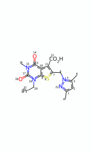 Cc1cc(C)n(Cc2sc3c(c2C(=O)O)c(=O)n(C)c(=O)n3CC(C)C)n1